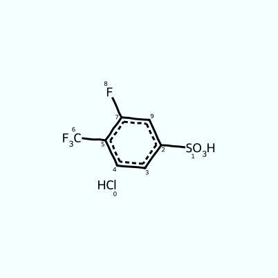 Cl.O=S(=O)(O)c1ccc(C(F)(F)F)c(F)c1